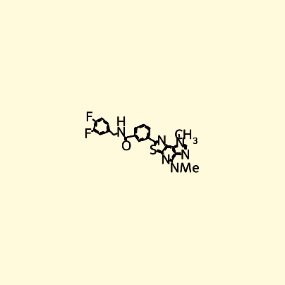 CNc1nc2sc(-c3cccc(C(=O)NCc4ccc(F)c(F)c4)c3)nc2c2c1ncn2C